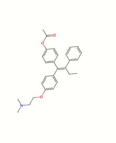 CC/C(=C(\c1ccc(OCCN(C)C)cc1)c1ccc(OC(C)=O)cc1)c1ccccc1